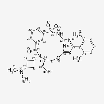 Cc1cccc(C)c1-c1cc2nc(n1)NS(=O)(=O)c1cccc(c1)C(=O)N([C@H]1C[C@@H](N(C)C)C1)[C@H](CC(C)C)CO2